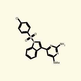 CNc1cc(-c2cn(S(=O)(=O)c3ccc(Cl)cc3)c3ccccc23)nc(N)n1